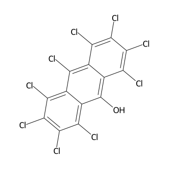 Oc1c2c(Cl)c(Cl)c(Cl)c(Cl)c2c(Cl)c2c(Cl)c(Cl)c(Cl)c(Cl)c12